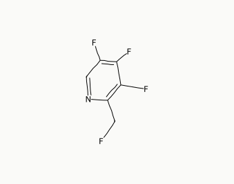 FCc1ncc(F)c(F)c1F